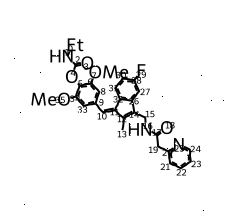 CCNC(=O)Oc1c(OC)cc(/C=C2/C(C)=C(CNC(=O)Cc3ccccn3)c3cc(F)ccc32)cc1OC